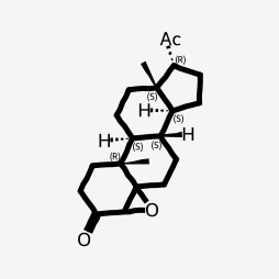 CC(=O)[C@@H]1CC[C@H]2[C@@H]3CCC45OC4C(=O)CC[C@]5(C)[C@H]3CC[C@]12C